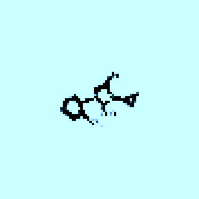 CC(C)C1=CN(c2ccccc2C(F)(F)F)C(C=O)N1C1CC1